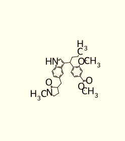 CCCC(c1ccc(C(=O)OC)cc1OC)c1c[nH]c2ccc(CC3CCN(C)C3=O)cc12